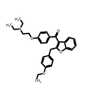 CCOc1ccc(Cc2oc3ccccc3c2C(=O)c2ccc(OCCN(CC)CC)cc2)cc1